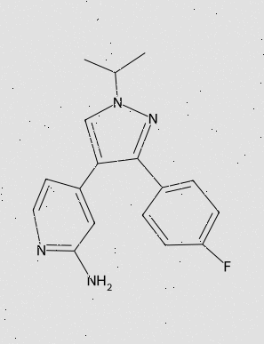 CC(C)n1cc(-c2ccnc(N)c2)c(-c2ccc(F)cc2)n1